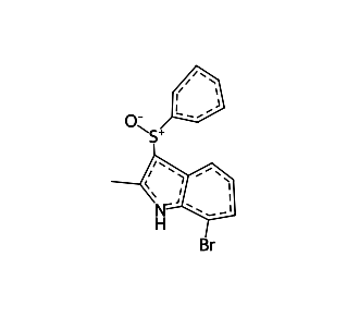 Cc1[nH]c2c(Br)cccc2c1[S+]([O-])c1ccccc1